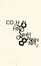 N=C(N)Nc1cc(C(=O)NCC(=O)NC(CC(=O)O)c2cccnc2)c2ccccc2c1